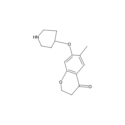 Cc1cc2c(cc1OC1CCNCC1)OCCC2=O